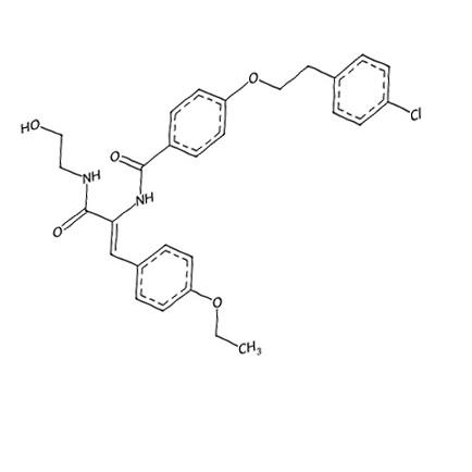 CCOc1ccc(/C=C(\NC(=O)c2ccc(OCCc3ccc(Cl)cc3)cc2)C(=O)NCCO)cc1